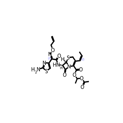 C=CCO/N=C(\C(=O)N[C@@H]1C(=O)N2C(C(=O)OC(C)OC(C)=O)=C(/C=C\C)CS[C@H]12)c1csc(N)n1